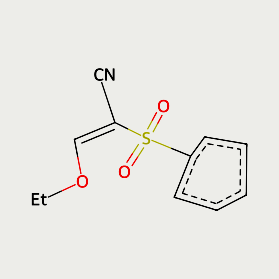 CCO/C=C(/C#N)S(=O)(=O)c1ccccc1